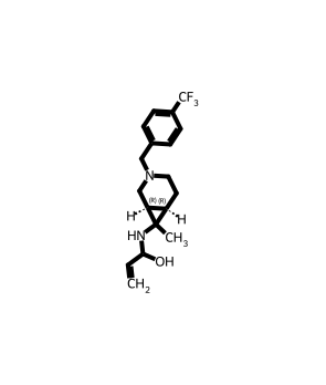 C=CC(O)NC1(C)[C@@H]2CCN(Cc3ccc(C(F)(F)F)cc3)C[C@@H]21